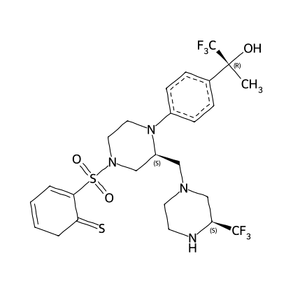 C[C@@](O)(c1ccc(N2CCN(S(=O)(=O)C3=CC=CCC3=S)C[C@@H]2CN2CCN[C@H](C(F)(F)F)C2)cc1)C(F)(F)F